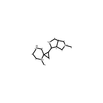 CN1CC2COC(C3CC34CNCCN4C)C2C1